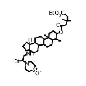 CCOC(=O)CC(C)(C)CC(=O)OC1CCC2(C)C(CCC3C4CCC5(NCC(CC)N6CC[S+]([O-])CC6)CCC[C@@H]5C4CCC32)C1C